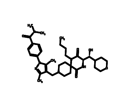 CCCCN1C(=O)[C@@H]([C@H](O)C2CCOCC2)NC(=O)C12CCN(Cc1c(C)nn(-c3ccc(C(=O)N(C)C)cc3)c1C)CC2